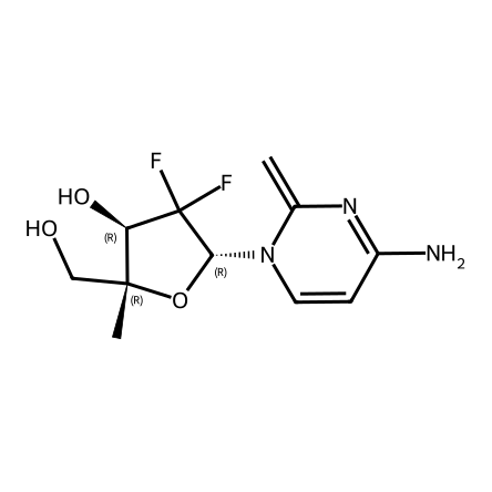 C=C1N=C(N)C=CN1[C@@H]1O[C@](C)(CO)[C@@H](O)C1(F)F